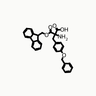 NC(Cc1ccc(OCc2ccccc2)cc1)(C(=O)O)C(=O)OCC1c2ccccc2-c2ccccc21